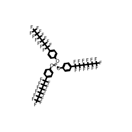 FC(F)(F)C(F)(F)C(F)(F)C(F)(F)C(F)(F)C(F)(F)c1ccc(OP(Oc2ccc(C(F)(F)C(F)(F)C(F)(F)C(F)(F)C(F)(F)C(F)(F)F)cc2)Oc2ccc(C(F)(F)C(F)(F)C(F)(F)C(F)(F)C(F)(F)C(F)(F)F)cc2)cc1